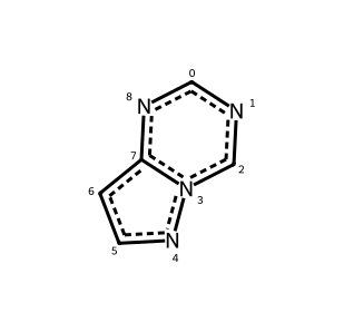 c1ncn2nccc2n1